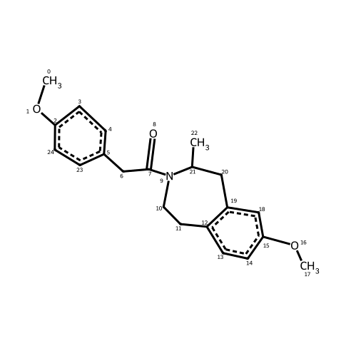 COc1ccc(CC(=O)N2CCc3ccc(OC)cc3CC2C)cc1